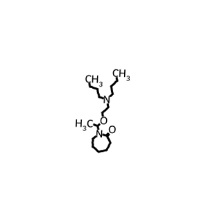 CCCCN(CCCC)CCOC(C)N1CCCCCC1=O